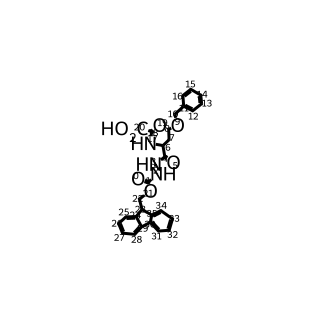 O=C(NNC(=O)C(CCOCc1ccccc1)NC(=O)C(=O)O)OCC1c2ccccc2-c2ccccc21